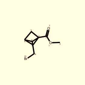 COC(=O)C12CC(C1)C2CBr